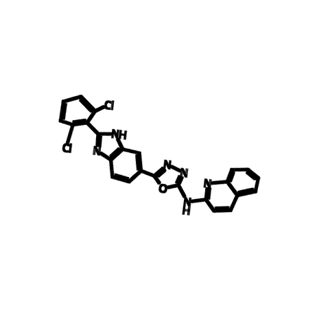 Clc1cccc(Cl)c1-c1nc2ccc(-c3nnc(Nc4ccc5ccccc5n4)o3)cc2[nH]1